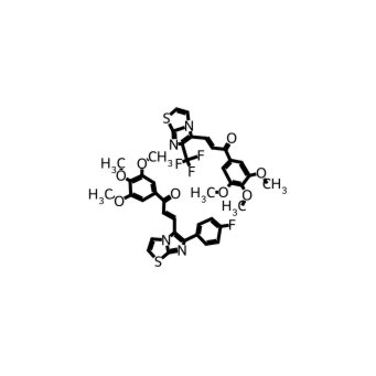 COc1cc(C(=O)/C=C/c2c(-c3ccc(F)cc3)nc3sccn23)cc(OC)c1OC.COc1cc(C(=O)/C=C/c2c(C(F)(F)F)nc3sccn23)cc(OC)c1OC